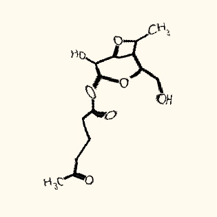 CC(=O)CCCC(=O)OC1OC(CO)C2C(C)OC2C1O